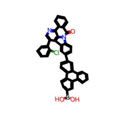 O=c1c2ccccc2c2ncc(-c3ccccc3Cl)c3c4cc(-c5ccc6c7ccc(B(O)O)cc7c7ccccc7c6c5)ccc4n1c23